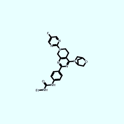 CCNC(=O)Nc1ccc(-c2nc3c(c(N4CC5CC4CO5)n2)CCN(c2ncc(F)cn2)C3)cc1